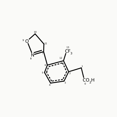 O=C(O)Cc1cccc(C2=NOCC2)c1C(F)(F)F